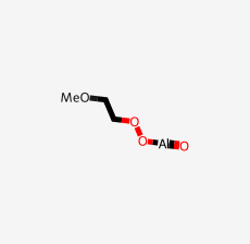 COCCO[O][Al]=[O]